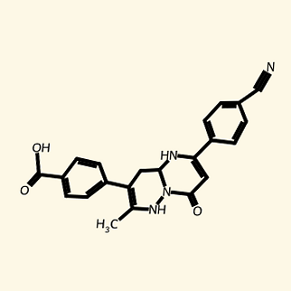 CC1=C(c2ccc(C(=O)O)cc2)CC2NC(c3ccc(C#N)cc3)=CC(=O)N2N1